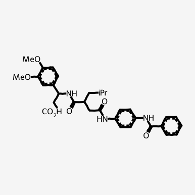 COc1ccc(C(CC(=O)O)NC(=O)C(CC(=O)Nc2ccc(NC(=O)c3ccccc3)cc2)CC(C)C)cc1OC